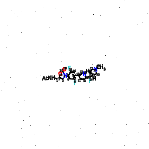 CC(=O)NC[C@H]1CN(c2cc(F)c(-c3ccc(C4(F)[C@@H]5CN(C)C[C@@H]54)nc3)cc2F)C(=O)O1